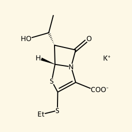 CCSC1=C(C(=O)[O-])N2C(=O)[C@@H](C(C)O)[C@H]2S1.[K+]